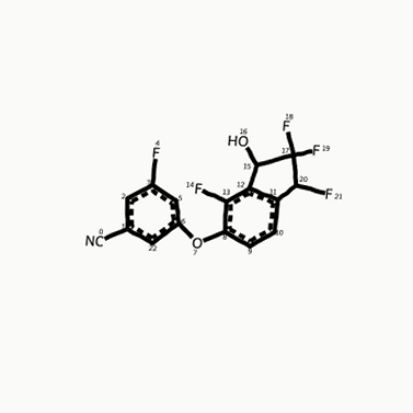 N#Cc1cc(F)cc(Oc2ccc3c(c2F)C(O)C(F)(F)C3F)c1